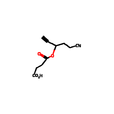 C#CC(CCC#N)OC(=O)CCC(=O)O